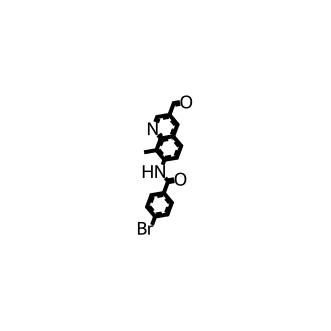 Cc1c(NC(=O)c2ccc(Br)cc2)ccc2cc(C=O)cnc12